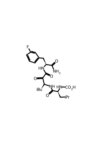 CC[C@H](C)C(NC(=O)[C@H](CC(C)C)NC(=O)O)C(=O)C(=O)N[C@@H](Cc1cccc(F)c1)C(N)=O